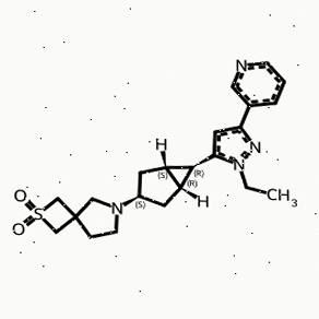 CCn1nc(-c2cccnc2)cc1[C@H]1[C@@H]2C[C@@H](N3CCC4(C3)CS(=O)(=O)C4)C[C@@H]21